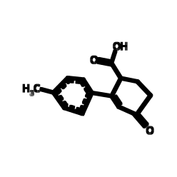 Cc1ccc(C2=CC(=O)CCC2C(=O)O)cc1